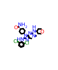 C=N/C(=N\c1c(C)nc(Nc2c(Cl)cccc2Cl)n1[C@H]1CC[C@@H](C(N)=O)CC1)NC1CCOCC1